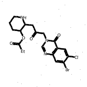 CCC(=O)OC1CCCNC1CC(=O)Cn1cnc2cc(Br)c(Cl)cc2c1=O